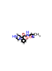 Cc1cc(NC(=O)C(=O)c2c3n(c4ccccc24)CCNCC3)on1